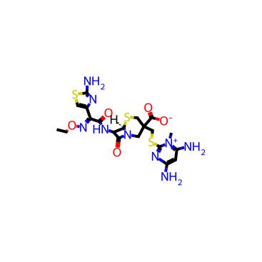 CCON=C(C(=O)NC1C(=O)N2CC(CSc3nc(N)cc(N)[n+]3C)(C(=O)[O-])CS[C@H]12)c1csc(N)n1